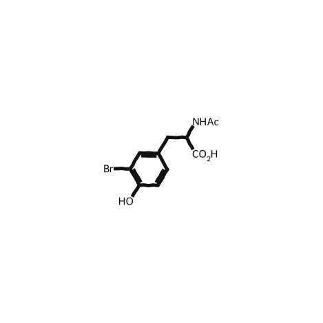 CC(=O)NC(Cc1ccc(O)c(Br)c1)C(=O)O